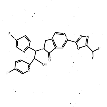 O=C1c2cc(-c3nnc(C(F)F)o3)ccc2CN1C(c1ccc(F)cn1)C(O)c1ccc(F)cn1